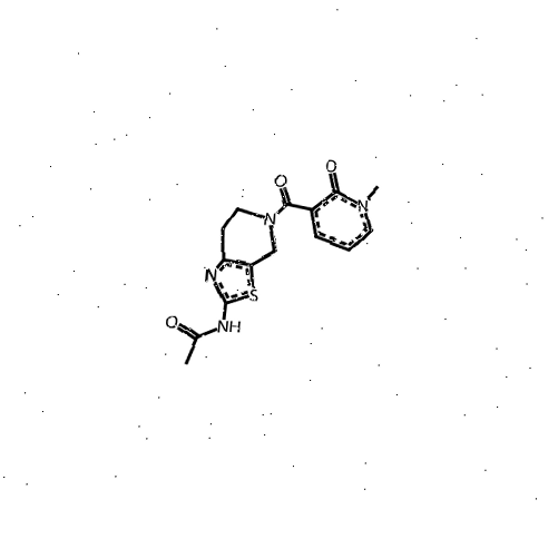 CC(=O)Nc1nc2c(s1)CN(C(=O)c1cccn(C)c1=O)CC2